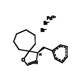 C1=N[C@H](Cc2ccccc2)C2(CCCCCC2)O1.[Br-].[Br-].[Pd+2]